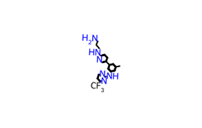 Cc1cc(Nc2nccc(C(F)(F)F)n2)cc(-c2ccc(NCCCN)nc2)c1